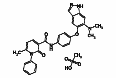 CS(=O)(=O)O.Cc1ccc(C(=O)Nc2ccc(Oc3cc4cn[nH]c4cc3N(C)C)cc2)c(=O)n1-c1ccccc1